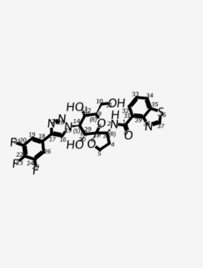 O=C(N[C@@H]1CCO[C@]12O[C@H](CO)[C@H](O)[C@H](n1cc(-c3cc(F)c(F)c(F)c3)nn1)[C@H]2O)c1cccc2scnc12